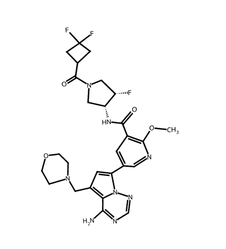 COc1ncc(-c2cc(CN3CCOCC3)c3c(N)ncnn23)cc1C(=O)N[C@@H]1CN(C(=O)C2CC(F)(F)C2)C[C@@H]1F